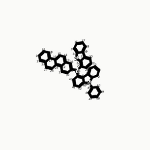 C1=CCC2C(=C1)c1c(N(c3ccc4c(ccc5c6ccccc6ccc45)c3)c3cccc4c3sc3ccccc34)cccc1N2c1ccccc1